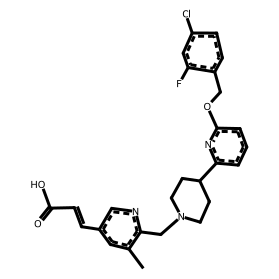 Cc1cc(C=CC(=O)O)cnc1CN1CCC(c2cccc(OCc3ccc(Cl)cc3F)n2)CC1